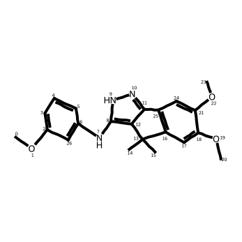 COc1cccc(Nc2[nH]nc3c2C(C)(C)c2cc(OC)c(OC)cc2-3)c1